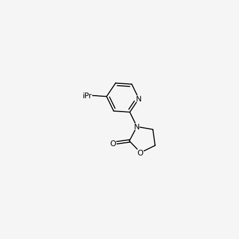 CC(C)c1ccnc(N2CCOC2=O)c1